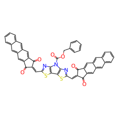 O=C1C(=Cc2nc3c(s2)c2sc(C=C4C(=O)c5cc6cc7ccccc7cc6cc5C4=O)nc2n3C(=O)OCc2ccccc2)C(=O)c2cc3cc4ccccc4cc3cc21